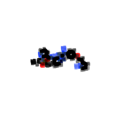 CN(c1ncccc1CNc1cccn2nc(Nc3ccc(OCCC4CCCN4)cc3)nc12)S(C)(=O)=O